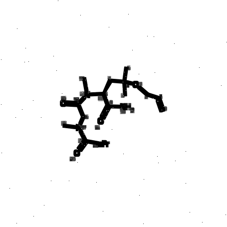 C=CCOC(C)(C)C[C@@H](C(N)=O)N(C)C(=O)CN(C)C(=O)CCC